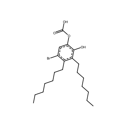 CCCCCCCc1c(Br)cc(OC(=O)O)c(O)c1CCCCCCC